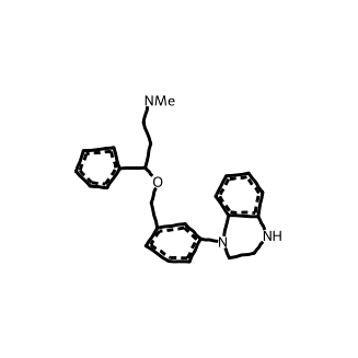 CNCCC(OCc1cccc(N2CCNc3ccccc32)c1)c1ccccc1